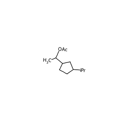 CC(=O)OC(C)C1CCC(C(C)C)C1